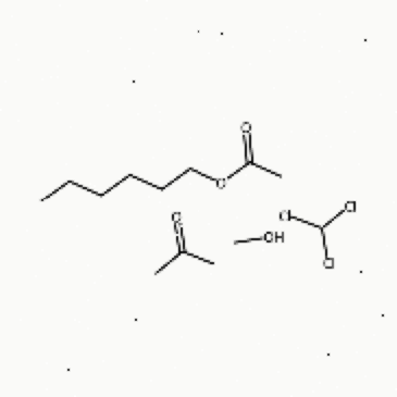 CC(C)=O.CCCCCCOC(C)=O.CO.ClC(Cl)Cl